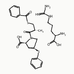 C[C@@H](CSC(=O)c1ccccc1)C(=O)N1C[C@@H](Sc2ccccc2)C[C@H]1C(=O)O.N=C(N)NCCCC(N)C(=O)O